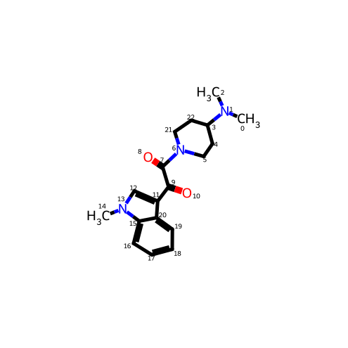 CN(C)C1CCN(C(=O)C(=O)c2cn(C)c3ccccc23)CC1